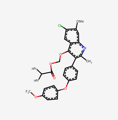 CCCC(CCC)C(=O)OCOc1c(-c2ccc(Oc3ccc(OC(F)(F)F)cc3)cc2)c(C)nc2cc(OC)c(Cl)cc12